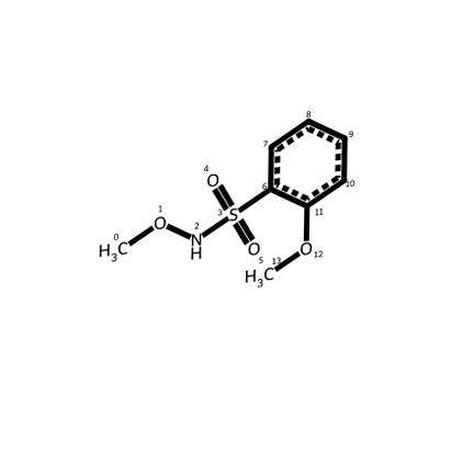 CONS(=O)(=O)c1ccccc1OC